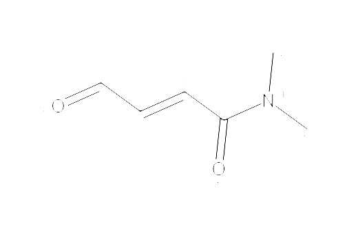 CN(C)C(=O)C=CC=O